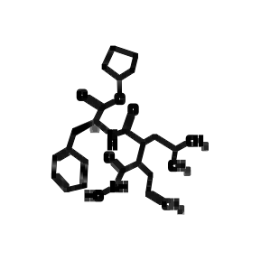 C=CCC(C(=O)NO)C(CC(C)C)C(=O)N[C@@H](Cc1ccccc1)C(=O)OC1CCCC1